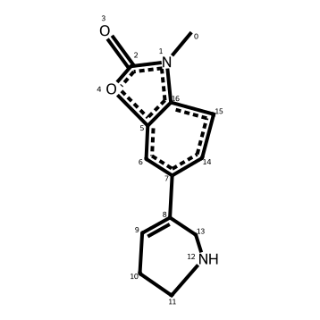 Cn1c(=O)oc2cc(C3=CCCNC3)ccc21